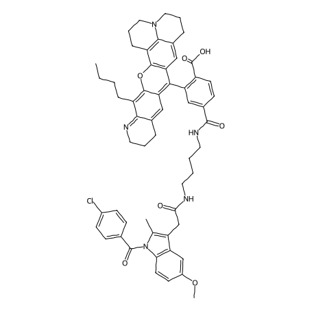 CCCCc1c2c(cc3c1=NCCC3)=C(c1cc(C(=O)NCCCCNC(=O)Cc3c(C)n(C(=O)c4ccc(Cl)cc4)c4ccc(OC)cc34)ccc1C(=O)O)c1cc3c4c(c1O2)CCCN4CCC3